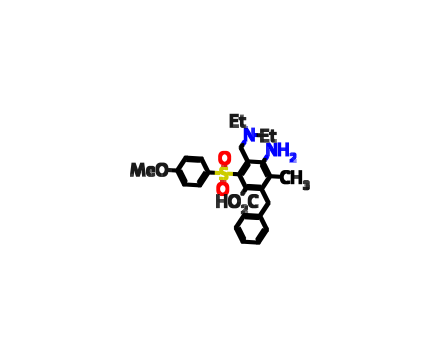 CCN(CC)Cc1c(N)c(C)c(Cc2ccccc2)c(C(=O)O)c1S(=O)(=O)c1ccc(OC)cc1